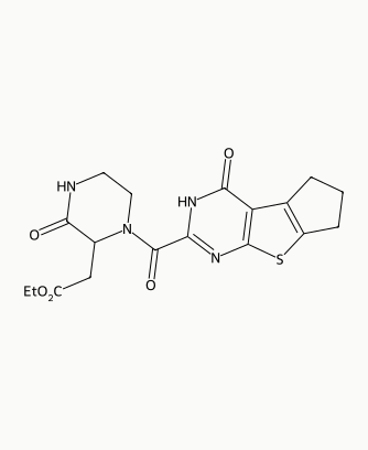 CCOC(=O)CC1C(=O)NCCN1C(=O)c1nc2sc3c(c2c(=O)[nH]1)CCC3